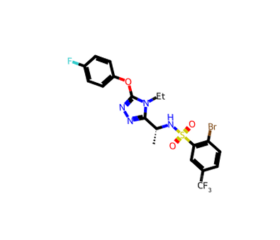 CCn1c(Oc2ccc(F)cc2)nnc1[C@@H](C)NS(=O)(=O)c1cc(C(F)(F)F)ccc1Br